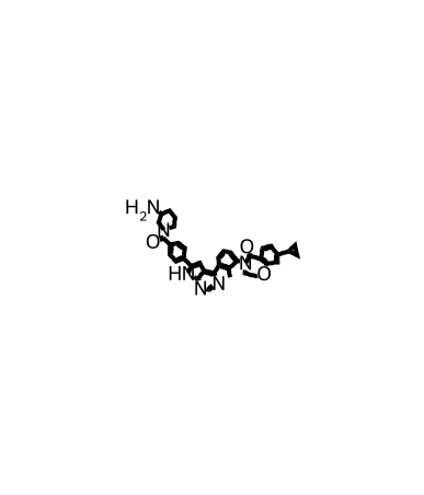 Cc1c(-c2ncnc3[nH]c(-c4ccc(C(=O)N5CCCC(N)C5)cc4)cc23)cccc1N1CCOc2cc(C3CC3)ccc2C1=O